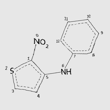 O=[N+]([O-])c1sccc1Nc1ccccc1